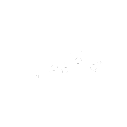 Cc1c(COc2cc(OCc3cncc(C#N)c3)c(CN3CCCCC3C(=O)O)cc2Cl)cccc1-c1cccc(OCCCN2CCC(O)C2)c1Cl